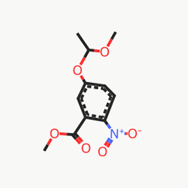 COC(=O)c1cc(OC(C)OC)ccc1[N+](=O)[O-]